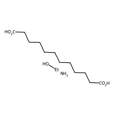 CCO.N.O=C(O)CCCCCCCCCCC(=O)O